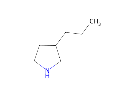 CCCC1CCNC1